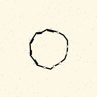 [C]1=C/C=C/C=C\C=C\C=C\CCCCCCCCCC/1